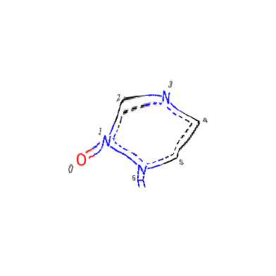 O=[n+]1cncc[nH]1